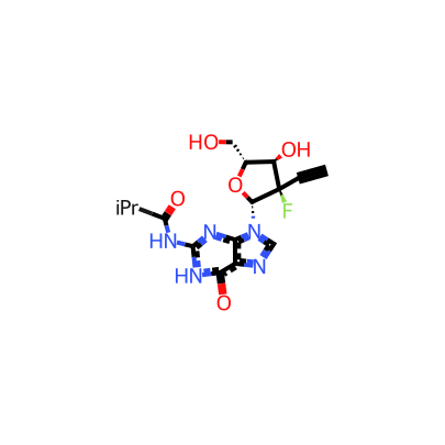 C#C[C@@]1(F)[C@H](O)[C@@H](CO)O[C@H]1n1cnc2c(=O)[nH]c(NC(=O)C(C)C)nc21